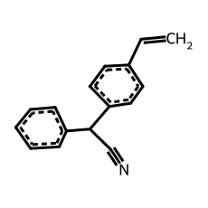 C=Cc1ccc(C(C#N)c2ccccc2)cc1